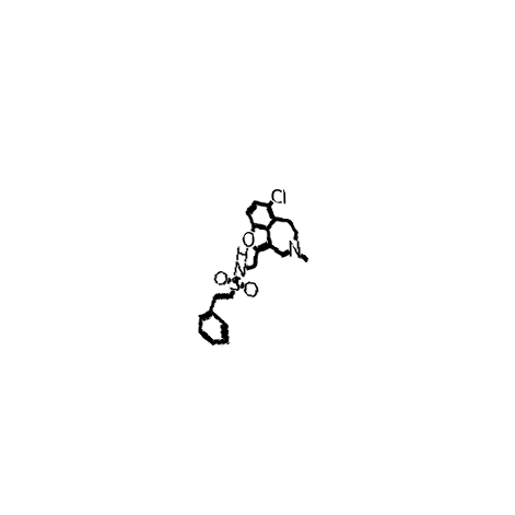 CN1CCc2c(Cl)ccc3oc(CNS(=O)(=O)/C=C/c4ccccc4)c(c23)C1